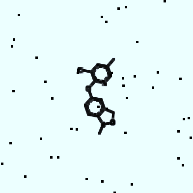 CB1OCc2cc(Oc3ncc(C)cc3Cl)ccc21